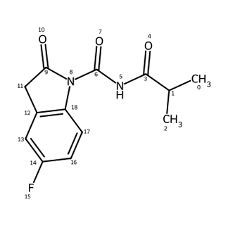 CC(C)C(=O)NC(=O)N1C(=O)Cc2cc(F)ccc21